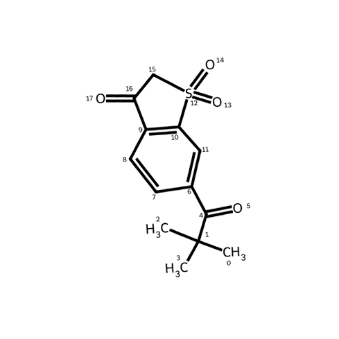 CC(C)(C)C(=O)c1ccc2c(c1)S(=O)(=O)CC2=O